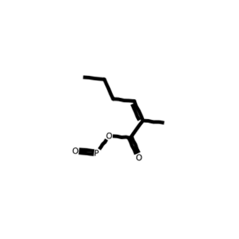 CCCC=C(C)C(=O)OP=O